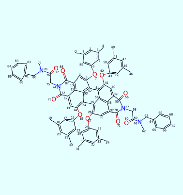 Cc1cc(C)cc(Oc2cc3c4c(cc(Oc5cc(C)cc(C)c5)c5c6c(Oc7cc(C)cc(C)c7)cc7c8c(cc(Oc9cc(C)cc(C)c9)c(c2c45)c86)C(=O)N(CC(=O)N(C)Cc2ccccc2)C7=O)C(=O)N(CC(=O)N(C)Cc2ccccc2)C3=O)c1